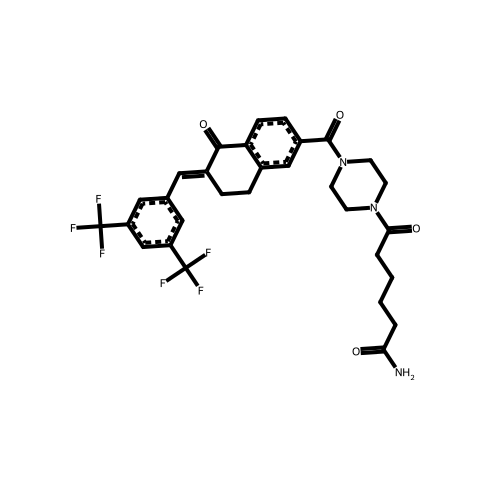 NC(=O)CCCCC(=O)N1CCN(C(=O)c2ccc3c(c2)CC/C(=C\c2cc(C(F)(F)F)cc(C(F)(F)F)c2)C3=O)CC1